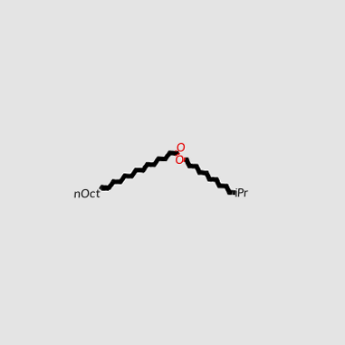 CCCCCCCCC=CCCCCCCCCCCCC(=O)OCCCCCCCCCCC(C)C